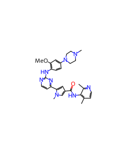 COc1cc(N2CCN(C)CC2)ccc1Nc1nccc(-c2cc(C(=O)Nc3c(C)ccnc3C)cn2C)n1